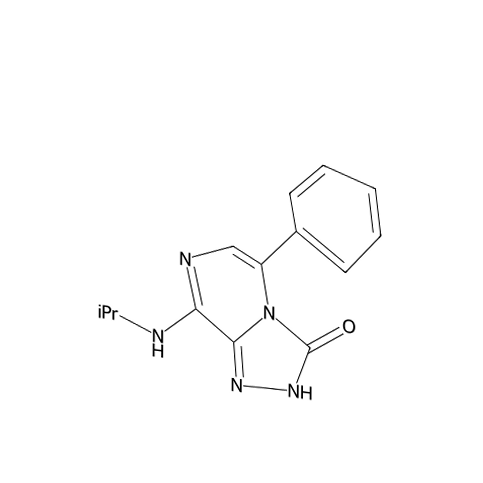 CC(C)Nc1ncc(-c2ccccc2)n2c(=O)[nH]nc12